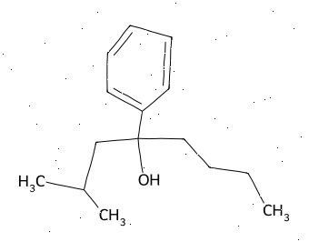 CCCCC(O)(CC(C)C)c1ccccc1